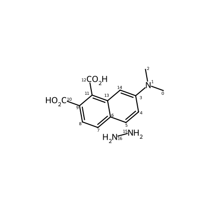 CN(C)c1ccc2ccc(C(=O)O)c(C(=O)O)c2c1.NN